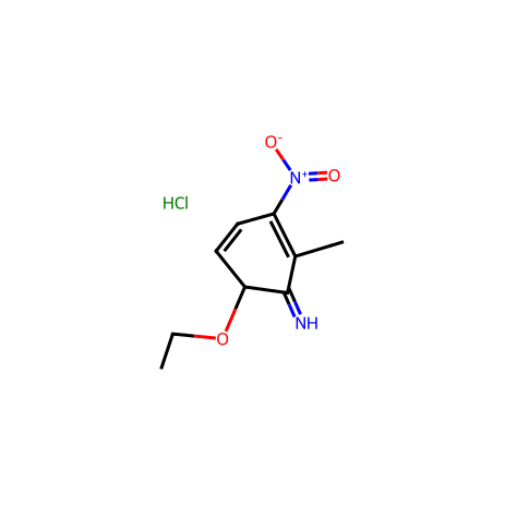 CCOC1C=CC([N+](=O)[O-])=C(C)C1=N.Cl